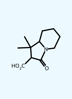 CC1(C)C(C(=O)O)C(=O)N2CCCCC21